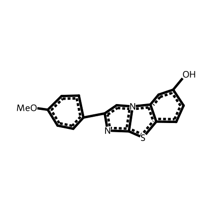 COc1ccc(-c2cn3c(n2)sc2ccc(O)cc23)cc1